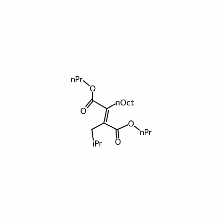 CCCCCCCCC(C(=O)OCCC)=C(CC(C)C)C(=O)OCCC